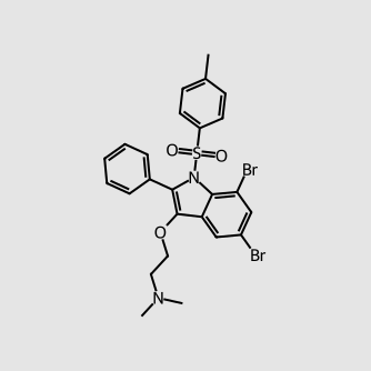 Cc1ccc(S(=O)(=O)n2c(-c3ccccc3)c(OCCN(C)C)c3cc(Br)cc(Br)c32)cc1